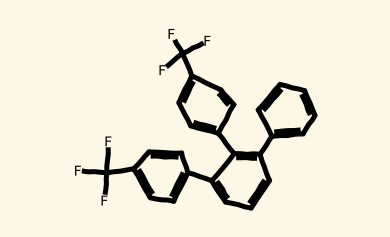 FC(F)(F)c1ccc(-c2cccc(-c3ccccc3)c2-c2ccc(C(F)(F)F)cc2)cc1